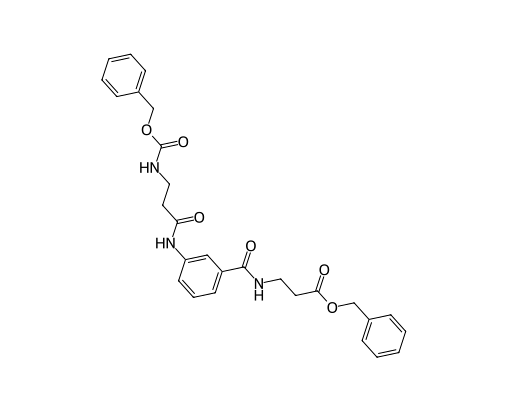 O=C(CCNC(=O)OCc1ccccc1)Nc1cccc(C(=O)NCCC(=O)OCc2ccccc2)c1